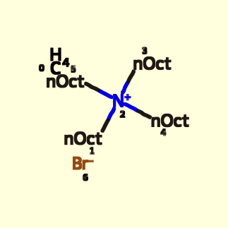 C.CCCCCCCC[N+](CCCCCCCC)(CCCCCCCC)CCCCCCCC.[Br-]